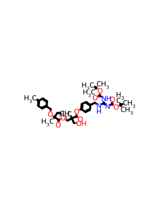 CCC(C)(OCc1ccc(C)cc1)C(=O)OCC(C)(CO)C(=O)Oc1ccc(CN/C(=N/C(=O)OC(C)(C)C)NC(=O)OC(C)(C)C)cc1